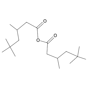 CC(CC(=O)OC(=O)CC(C)CC(C)(C)C)CC(C)(C)C